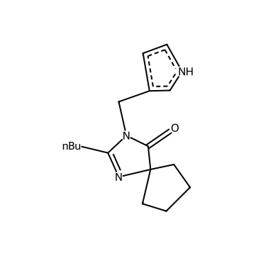 CCCCC1=NC2(CCCC2)C(=O)N1Cc1cc[nH]c1